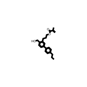 C=C(C)C(=O)OCCCc1cc(-c2ccc(CCC)cc2)ccc1CO